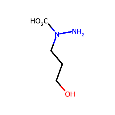 NN(CCCO)C(=O)O